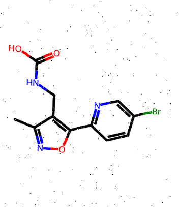 Cc1noc(-c2ccc(Br)cn2)c1CNC(=O)O